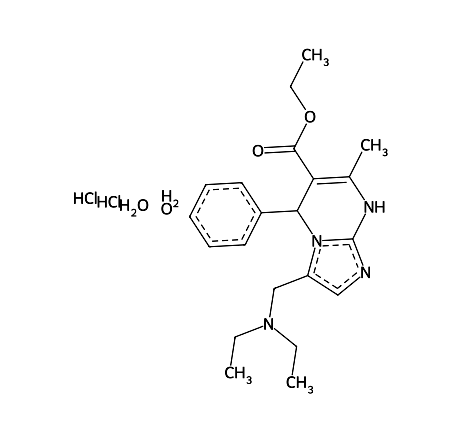 CCOC(=O)C1=C(C)Nc2ncc(CN(CC)CC)n2C1c1ccccc1.Cl.Cl.O.O